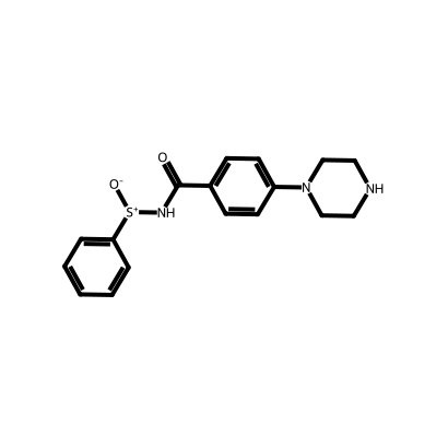 O=C(N[S+]([O-])c1ccccc1)c1ccc(N2CCNCC2)cc1